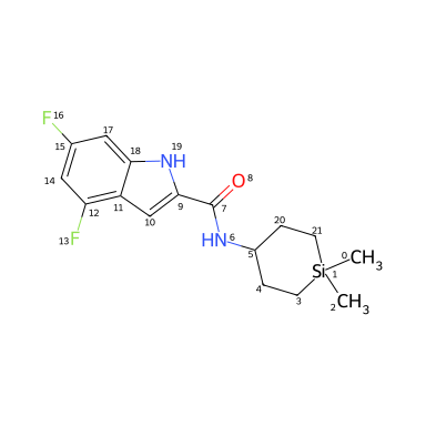 C[Si]1(C)CCC(NC(=O)c2cc3c(F)cc(F)cc3[nH]2)CC1